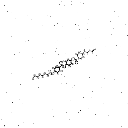 C=CCCC[C@H]1CC[C@H](C(=O)Oc2ccc(OC(=O)c3ccc(OCCCCCCCC)cc3)cc2)CC1